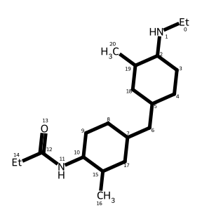 CCNC1CCC(CC2CCC(NC(=O)CC)C(C)C2)CC1C